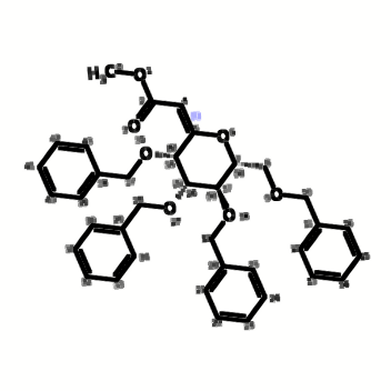 COC(=O)/C=C1/O[C@H](COCc2ccccc2)[C@@H](OCc2ccccc2)[C@H](OCc2ccccc2)[C@@H]1OCc1ccccc1